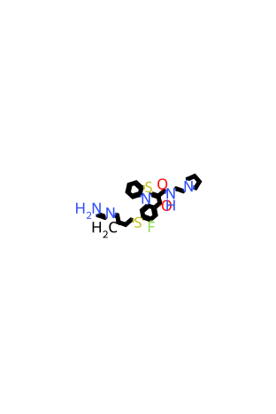 C=C(/C=N\C=C/N)CCSc1cc2c(cc1F)c(=O)c(C(=O)NCCN1CCCC1)c1sc3ccccc3n12